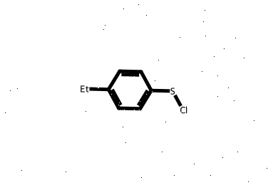 CCc1ccc(SCl)cc1